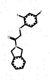 O=C(CSc1ccc(F)cc1F)N1Cc2ccccc2C1